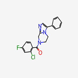 O=C(c1ccc(F)cc1Cl)N1CCn2c(-c3ccccc3)cnc2C1